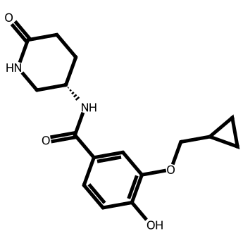 O=C1CC[C@H](NC(=O)c2ccc(O)c(OCC3CC3)c2)CN1